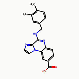 Cc1ccc(CNc2nc3ccc(C(=O)O)cc3n3ccnc23)cc1C